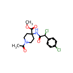 COC(=O)C1(NC(=O)C(Cl)c2ccc(Cl)cc2)CCN(C(C)=O)CC1